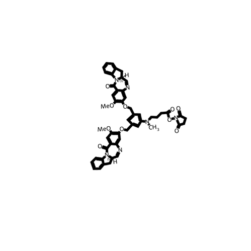 COc1cc2c(cc1OCc1cc(COc3cc4c(cc3OC)C(=O)N3c5ccccc5C[C@H]3C=N4)cc(N(C)CCCC(=O)ON3C(=O)CCC3=O)c1)N=C[C@@H]1Cc3ccccc3N1C2=O